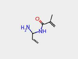 C=CC(N)NC(=O)C(=C)C